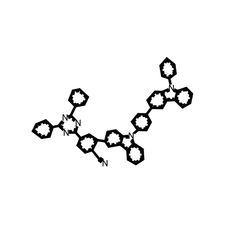 N#Cc1ccc(-c2nc(-c3ccccc3)nc(-c3ccccc3)n2)cc1-c1ccc2c(c1)c1ccccc1n2-c1ccc(-c2ccc3c(c2)c2ccccc2n3-c2ccccc2)cc1